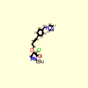 CC(C)(C)n1ncc(OCCC#Cc2ccc(Cn3ccnc3)cc2)c(Cl)c1=O